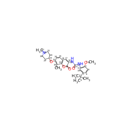 COc1ccc(C(C)(C)C)cc1NC(=O)Nc1cc2ccc(OC3CCN(C)CC3)c(C)c2oc1=O